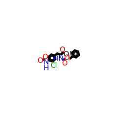 COC(=O)C(Cc1cc(Cl)c2[nH]c(=O)oc2c1)NC(=O)OCc1ccccc1